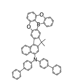 CC1(C)c2cc3c(cc2-c2c1cc(N(c1ccc(-c4ccccc4)cc1)c1ccc(-c4ccccc4)cc1)c1ccccc21)Oc1cccc2c1B3c1ccccc1O2